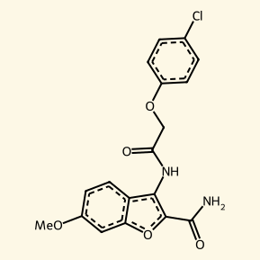 COc1ccc2c(NC(=O)COc3ccc(Cl)cc3)c(C(N)=O)oc2c1